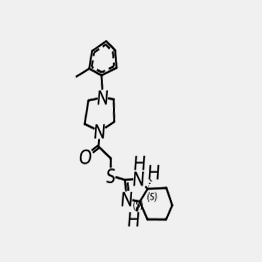 Cc1ccccc1N1CCN(C(=O)CSC2=N[C@H]3CCCC[C@@H]3N2)CC1